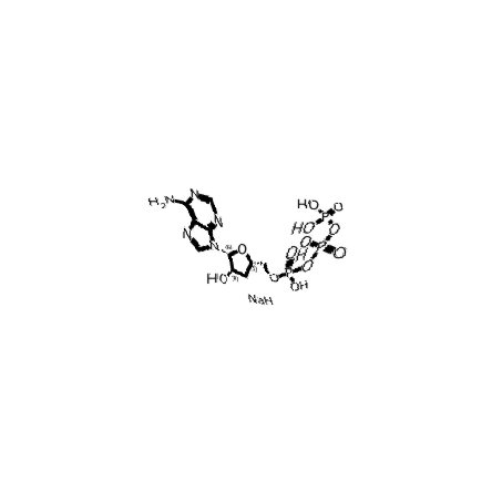 Nc1ncnc2c1ncn2[C@@H]1O[C@H](COP(=O)(O)OP(=O)(O)OP(=O)(O)O)C[C@H]1O.[NaH]